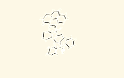 CC(c1ccccc1)(c1ccc(P(=O)(c2ccccc2)c2ccccc2)cc1)c1cc2cccc3ccc4cccc1c4c32